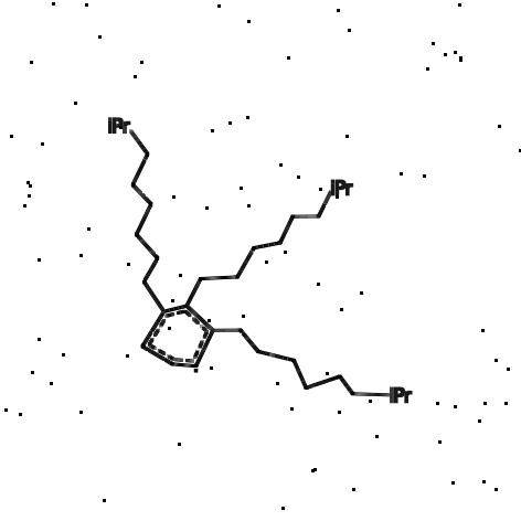 CC(C)CCCCCCc1[c]ccc(CCCCCCC(C)C)c1CCCCCCC(C)C